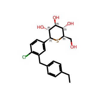 CCc1ccc(Cc2cc([C@@H]3S[C@H](CO)[C@@H](O)[C@H](O)[C@H]3O)ccc2Cl)cc1